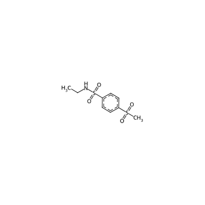 CCNS(=O)(=O)c1ccc(S(C)(=O)=O)cc1